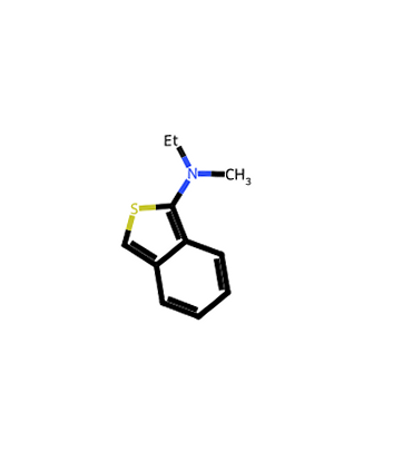 CCN(C)c1scc2ccccc12